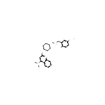 COc1ccc(F)c(CNC[C@H]2CC[C@@H](Nc3cc(N(C)C)c4ccccc4n3)CC2)c1